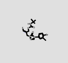 Cc1cc(-n2cnn(C/C(=C/F)COC(=O)NC(C)(C)C)c2=O)ccc1Br